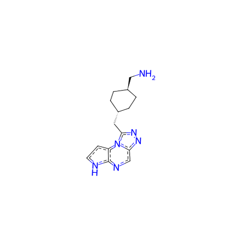 NC[C@H]1CC[C@H](Cc2nnc3cnc4[nH]ccc4n23)CC1